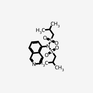 CC(C)CS(=O)(=O)N(c1cccc2cnccc12)S(=O)(=O)CC(C)C